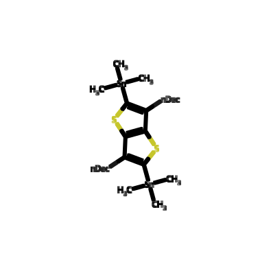 CCCCCCCCCCc1[c]([Sn]([CH3])([CH3])[CH3])sc2c(CCCCCCCCCC)[c]([Sn]([CH3])([CH3])[CH3])sc12